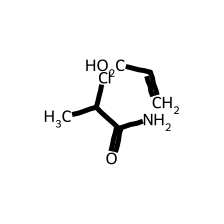 C=CC(=O)O.CC(Cl)C(N)=O